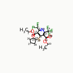 CCOC(=O)c1c(C(F)F)nc(C(F)(F)F)c(C(=O)OCC)c1SC1CCCC1